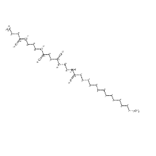 CCCCCCCCCCCCCCCC(=O)NCCOC(=O)CCC(=O)OCCCOC(=O)CCC